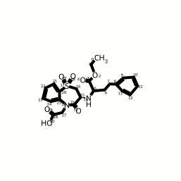 CCOC(=O)C(CCc1ccccc1)N[C@H]1CS(=O)(=O)c2ccccc2N(CC(=O)O)C1=O